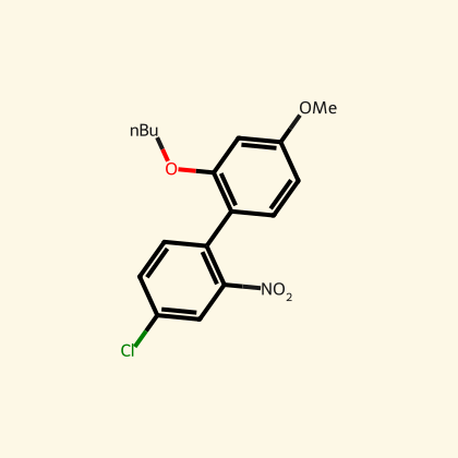 CCCCOc1cc(OC)ccc1-c1ccc(Cl)cc1[N+](=O)[O-]